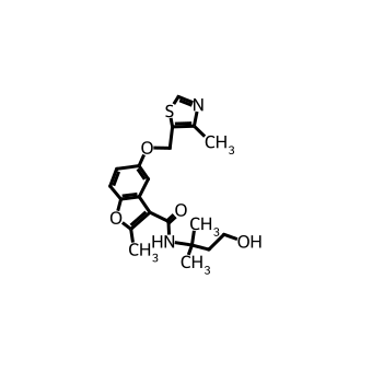 Cc1ncsc1COc1ccc2oc(C)c(C(=O)NC(C)(C)CCO)c2c1